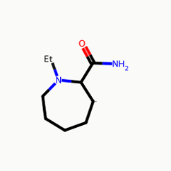 CCN1CCCC[CH]C1C(N)=O